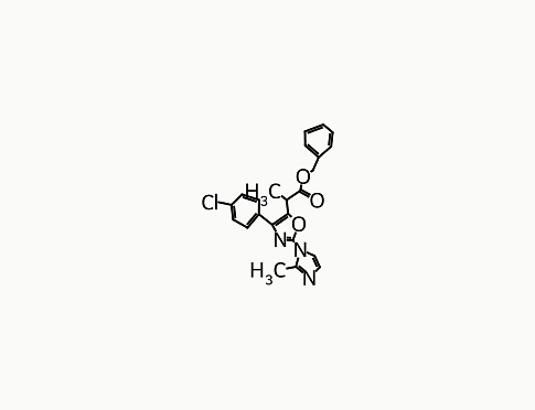 Cc1nccn1-c1nc(-c2ccc(Cl)cc2)c(C(C)C(=O)OCc2ccccc2)o1